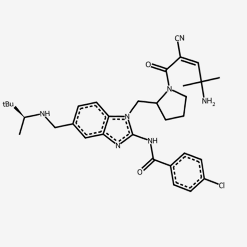 C[C@H](NCc1ccc2c(c1)nc(NC(=O)c1ccc(Cl)cc1)n2CC1CCCN1C(=O)C(C#N)=CC(C)(C)N)C(C)(C)C